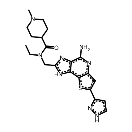 CCN(Cc1nc2c(N)nc3cc(-c4cc[nH]n4)sc3c2[nH]1)C(=O)C1CCN(C)CC1